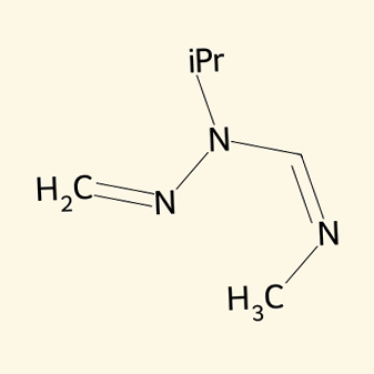 C=NN(/C=N\C)C(C)C